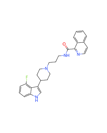 O=C(NCCCN1CCC(c2c[nH]c3cccc(F)c23)CC1)c1nccc2ccccc12